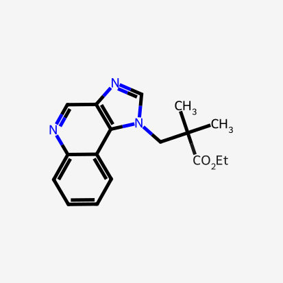 CCOC(=O)C(C)(C)Cn1cnc2cnc3ccccc3c21